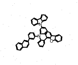 c1cc(-c2ccc3ccccc3c2)cc(N(c2cccc(-n3c4ccccc4c4ccccc43)c2)c2ccccc2-c2cccc3c2oc2ccccc23)c1